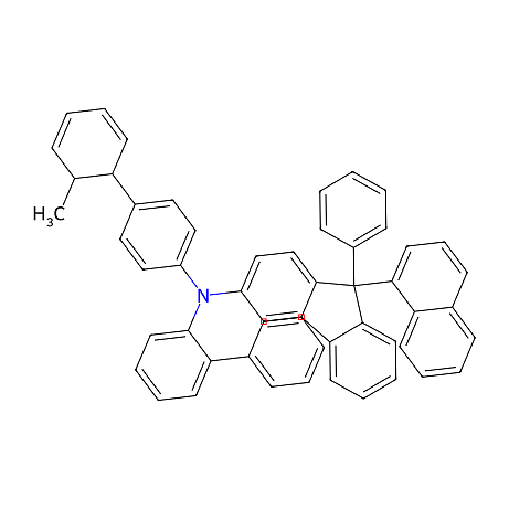 CC1C=CC=CC1c1ccc(N(c2ccc3c(c2)-c2ccccc2C3(c2ccccc2)c2cccc3ccccc23)c2ccccc2-c2ccccc2)cc1